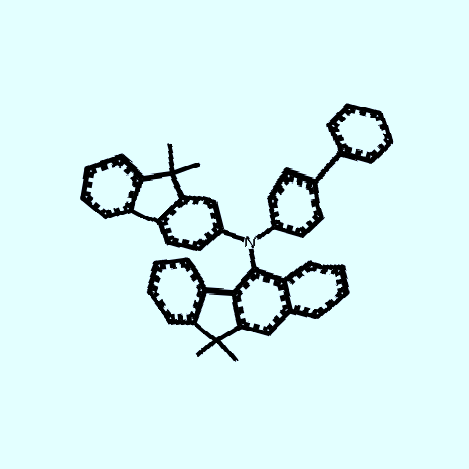 CC1(C)c2ccccc2-c2ccc(N(c3ccc(-c4ccccc4)cc3)c3c4c(cc5ccccc35)C(C)(C)c3ccccc3-4)cc21